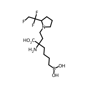 NC(CCCCB(O)O)(CCN1CCCC1C(F)(F)CF)C(=O)O